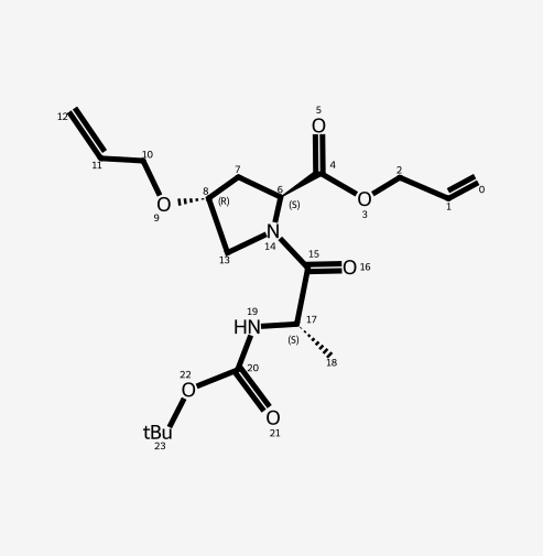 C=CCOC(=O)[C@@H]1C[C@@H](OCC=C)CN1C(=O)[C@H](C)NC(=O)OC(C)(C)C